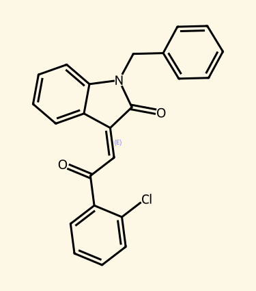 O=C(/C=C1/C(=O)N(Cc2ccccc2)c2ccccc21)c1ccccc1Cl